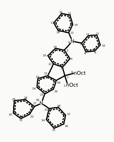 CCCCCCCCC1(CCCCCCCC)c2cc(N(c3ccccc3)c3ccccc3)ccc2-c2ccc(N(c3ccccc3)c3ccccc3)cc21